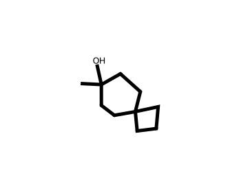 CC1(O)CCC2(CCC2)CC1